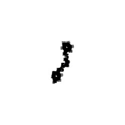 Cc1ccc(CSS/C=C\CSCc2ccccc2)cc1